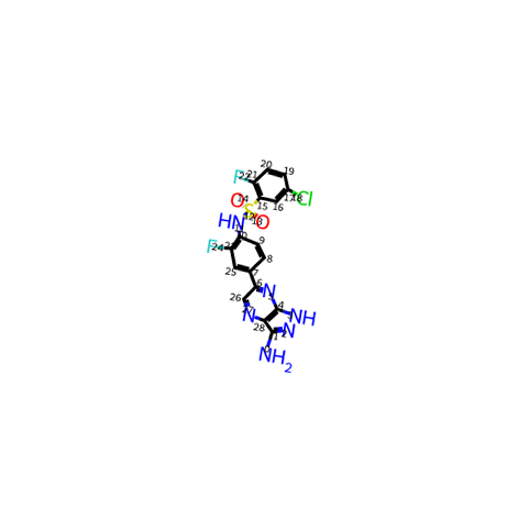 Nc1n[nH]c2nc(-c3ccc(NS(=O)(=O)c4cc(Cl)ccc4F)c(F)c3)cnc12